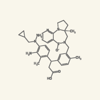 Cc1ccc(C(CC(=O)O)c2ccc(N(N)CC3CC3)c(N)c2C)cc1CN1CC2(C)CCCN2c2ncccc2[S+]1[O-]